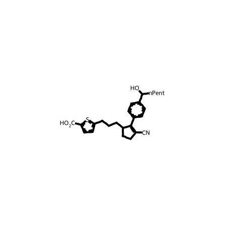 CCCCCC(O)c1ccc(C2=C(C#N)CCC2CCCc2ccc(C(=O)O)s2)cc1